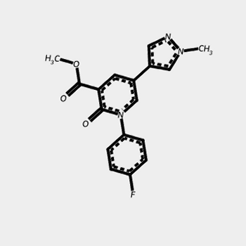 COC(=O)c1cc(-c2cnn(C)c2)cn(-c2ccc(F)cc2)c1=O